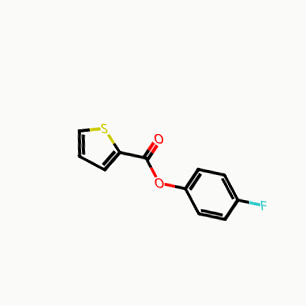 O=C(Oc1ccc(F)cc1)c1cccs1